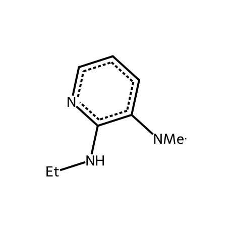 CCNc1ncccc1[N]C